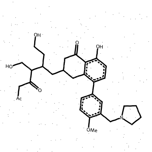 COc1ccc(-c2ccc(O)c3c2CC(CC(CCO)C(CO)C(=O)CC(C)=O)CC3=O)cc1CN1CCCC1